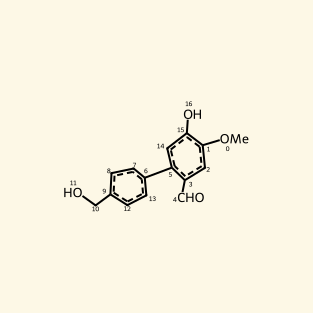 COc1cc(C=O)c(-c2ccc(CO)cc2)cc1O